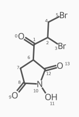 O=C(C(Br)CBr)C1CC(=O)N(O)C1=O